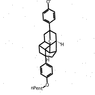 CCCCCOc1ccc(C23CC4C5CC6(c7ccc(OCCCCC)cc7)C[C@H]4C(C2)[C@H](C6)C5C3)cc1